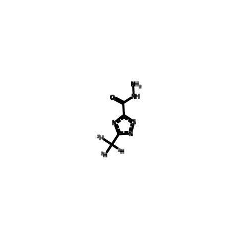 [2H]C([2H])([2H])c1nsc(C(=O)NN)n1